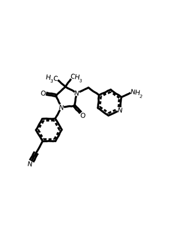 CC1(C)C(=O)N(c2ccc(C#N)cc2)C(=O)N1Cc1ccnc(N)c1